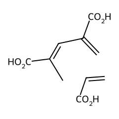 C=C(C=C(C)C(=O)O)C(=O)O.C=CC(=O)O